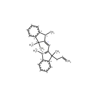 C=CCC1(C)C(/C=C2/N(C)c3ccccc3C2(C)C)=[N+](C)c2ccccc21